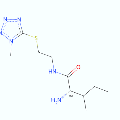 CCC(C)[C@H](N)C(=O)NCCSc1nnnn1C